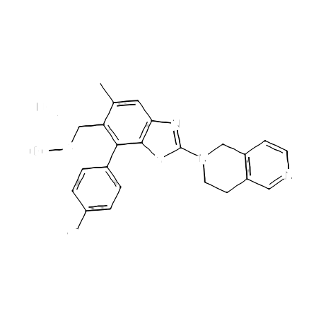 Cc1cc2nc(N3CCc4cnccc4C3)sc2c(-c2ccc(Cl)cc2)c1[C@H](OC(C)(C)C)C(=O)O